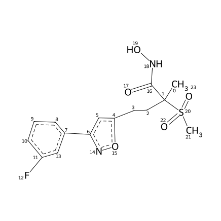 CC(CCc1cc(-c2cccc(F)c2)no1)(C(=O)NO)S(C)(=O)=O